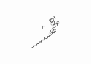 CCCCCCCCCCCCCCOCC1COC(COC(=O)N(Cc2cccc[n+]2CC)C(C)=O)O1.[I-]